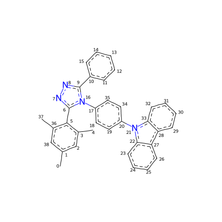 Cc1cc(C)c(-c2nnc(-c3ccccc3)n2-c2ccc(-n3c4ccccc4c4ccccc43)cc2)c(C)c1